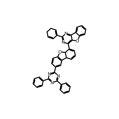 C1=CC2c3cc(-c4nc(-c5ccccc5)nc(-c5ccccc5)n4)ccc3OC2C(c2nc(C3=CCCC=C3)nc3c2oc2ccccc23)=C1